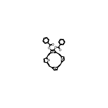 O=C(OC1=C(OC(=O)c2ccccc2)C2=NC1=CC1=NC(=CC3=NC(=CC4=NC(=C2)C=C4)C=C3)C=C1)c1ccccc1